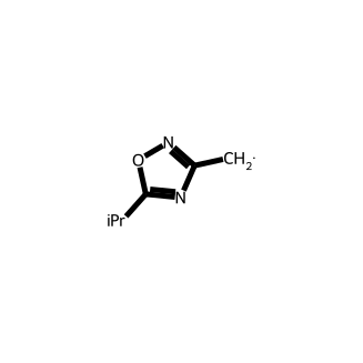 [CH2]c1noc(C(C)C)n1